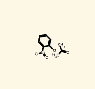 CC(C)=O.O=[N+]([O-])c1ccccc1Cl